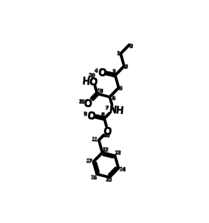 CCCC(=O)CC(NC(=O)OCc1ccccc1)C(=O)O